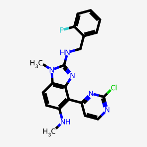 CNc1ccc2c(nc(NCc3ccccc3F)n2C)c1-c1ccnc(Cl)n1